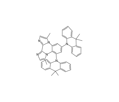 Cc1cnc2c3ncc(C)n3c3c(N4c5ccccc5C(C)(C)c5ccccc54)cc(N4c5ccccc5C(C)(C)c5ccccc54)cc3n12